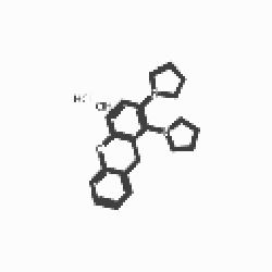 Cl.Cl.c1ccc2c(c1)Cc1c(ccc(N3CCCC3)c1N1CCCC1)O2